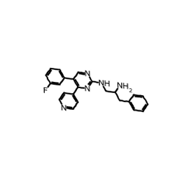 NC(CNc1ncc(-c2cccc(F)c2)c(-c2ccncc2)n1)Cc1ccccc1